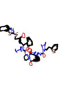 O=C(CSc1nc2ccccc2s1)CC(NC(=O)[C@@H]1CCCN2C(=O)CCC(NC(=O)NCCc3cccs3)C(=O)N12)c1ccccc1